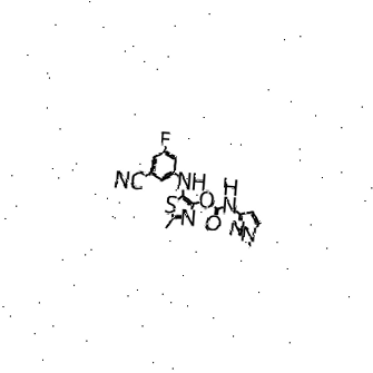 Cc1nc(OC(=O)Nc2ccn(C)n2)c(Nc2cc(F)cc(C#N)c2)s1